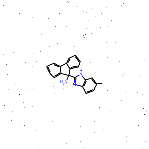 Cc1ccc2nc(C3(N)c4ccccc4-c4ccccc43)[nH]c2c1